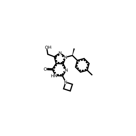 Cc1ccc([C@H](C)n2nc(CO)c3c(=O)[nH]c(N4CCC4)nc32)cc1